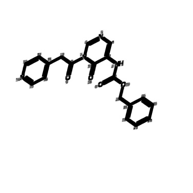 O=C(Nc1cncn(C(=O)Cc2ccncc2)c1=O)OCc1ccccc1